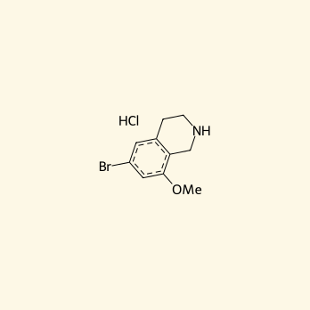 COc1cc(Br)cc2c1CNCC2.Cl